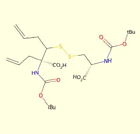 C=CCC(SSC[C@H](NC(=O)OC(C)(C)C)C(=O)O)[C@](CC=C)(NC(=O)OC(C)(C)C)C(=O)O